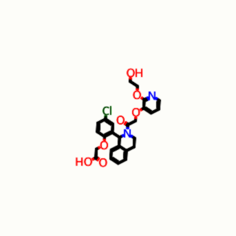 O=C(O)COc1ccc(Cl)cc1C1c2ccccc2CCN1C(=O)COc1cccnc1OCCO